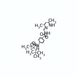 CC(=N)/C=C(C)\N=C\NS(=O)(=O)c1ccc(NC(=O)C2(CC(C)(C)C)CC2(C)C)cc1